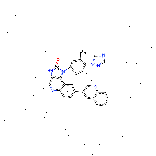 O=c1[nH]c2cnc3ccc(-c4cnc5ccccc5c4)cc3c2n1-c1ccc(-n2cncn2)c(C(F)(F)F)c1